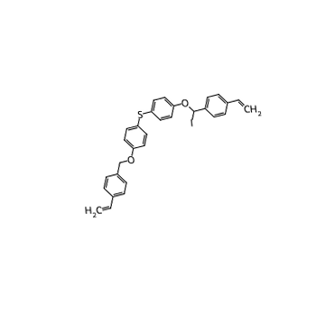 C=Cc1ccc(COc2ccc(Sc3ccc(OC(I)c4ccc(C=C)cc4)cc3)cc2)cc1